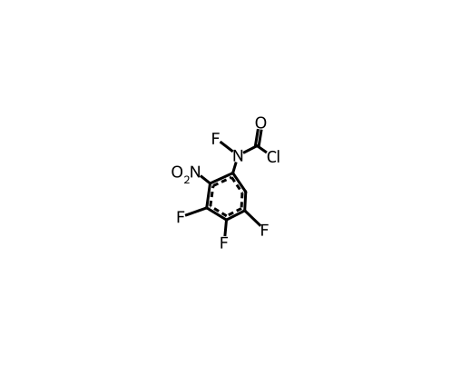 O=C(Cl)N(F)c1cc(F)c(F)c(F)c1[N+](=O)[O-]